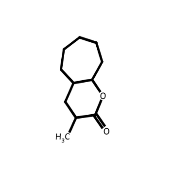 CC1CC2CCCCCC2OC1=O